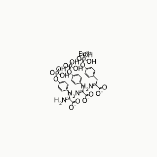 N[C@@H](Cc1ccc(OP(=O)(O)O)cc1)C(=O)[O-].N[C@@H](Cc1ccc(OP(=O)(O)O)cc1)C(=O)[O-].N[C@@H](Cc1ccc(OP(=O)(O)O)cc1)C(=O)[O-].[Eu+3]